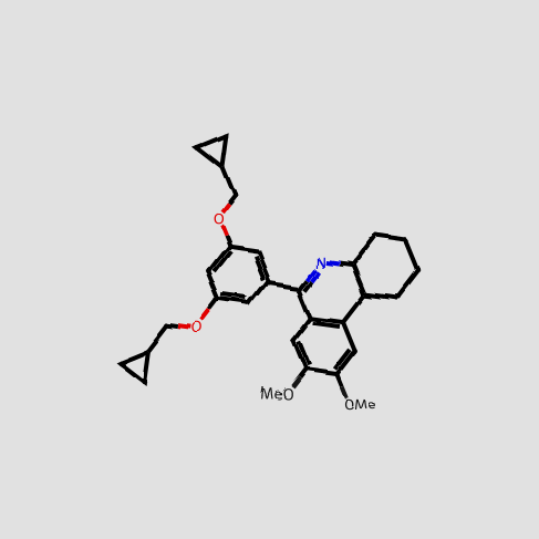 COc1cc2c(cc1OC)C1CCCCC1N=C2c1cc(OCC2CC2)cc(OCC2CC2)c1